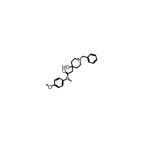 COc1ccc(N(C)C(=O)CC2(O)CCN(Cc3ccccc3)CC2)cc1